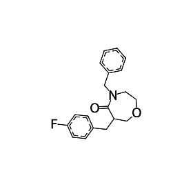 O=C1C(Cc2ccc(F)cc2)COCCN1Cc1ccccc1